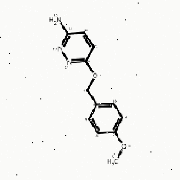 COc1ccc(COc2ccc(N)nn2)cc1